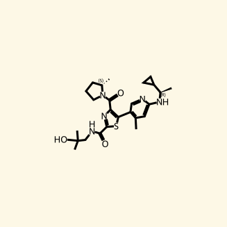 Cc1cc(N[C@H](C)C2CC2)ncc1-c1sc(C(=O)NCC(C)(C)O)nc1C(=O)N1CCC[C@@H]1C